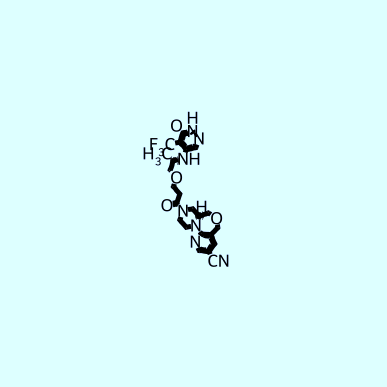 C[C@@H](COCCC(=O)N1CCN2c3ncc(C#N)cc3COC[C@H]2C1)Nc1cn[nH]c(=O)c1C(F)(F)F